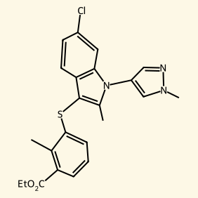 CCOC(=O)c1cccc(Sc2c(C)n(-c3cnn(C)c3)c3cc(Cl)ccc23)c1C